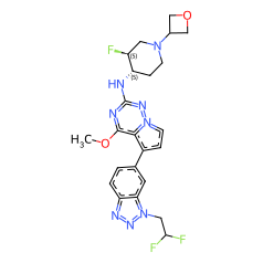 COc1nc(N[C@H]2CCN(C3COC3)C[C@@H]2F)nn2ccc(-c3ccc4nnn(CC(F)F)c4c3)c12